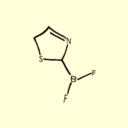 FB(F)C1N=CCS1